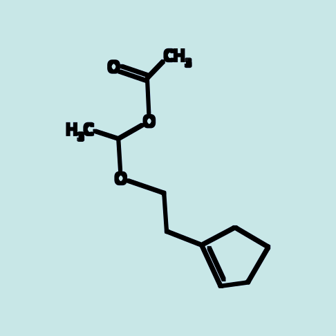 CC(=O)OC(C)OCCC1=CCCC1